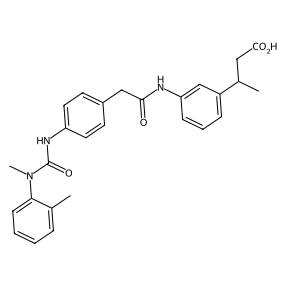 Cc1ccccc1N(C)C(=O)Nc1ccc(CC(=O)Nc2cccc(C(C)CC(=O)O)c2)cc1